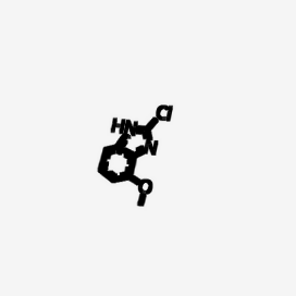 COc1cccc2[nH]c(Cl)nc12